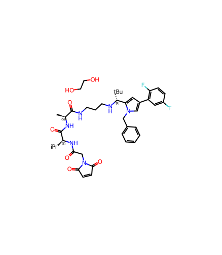 CC(C)[C@H](NC(=O)CN1C(=O)C=CC1=O)C(=O)N[C@@H](C)C(=O)NCCCN[C@@H](c1cc(-c2cc(F)ccc2F)cn1Cc1ccccc1)C(C)(C)C.OCCO